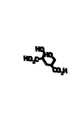 O=C(O)C(CO)CC(CO)C(=O)O